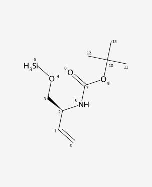 C=C[C@@H](CO[SiH3])NC(=O)OC(C)(C)C